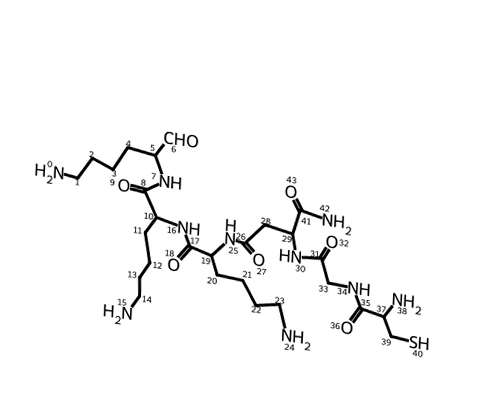 NCCCCC(C=O)NC(=O)C(CCCCN)NC(=O)C(CCCCN)NC(=O)CC(NC(=O)CNC(=O)C(N)CS)C(N)=O